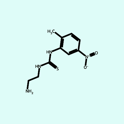 Cc1ccc([N+](=O)[O-])cc1NC(=S)NCCN